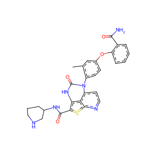 Cc1cc(Oc2ccccc2C(N)=O)ccc1N1C(=O)Nc2c(C(=O)NC3CCCNC3)sc3nccc1c23